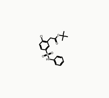 CC(C)(C)OC(=O)Cc1cc(S(=O)(=O)Nc2ccccc2)ccc1Cl